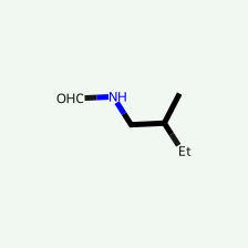 CCC(C)CNC=O